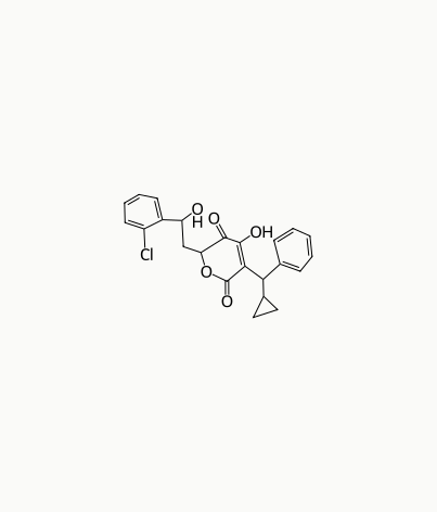 O=C1OC(CC(O)c2ccccc2Cl)C(=O)C(O)=C1C(c1ccccc1)C1CC1